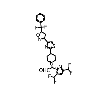 O=CC(N1CCC(c2nc(C3=NOC(C(F)(F)c4ccccc4)C3)cs2)CC1)n1nc(C(F)F)cc1C(F)F